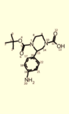 CC(C)(C)OC(=O)N1CCN(C(=O)O)CC1c1ccc(N)cc1